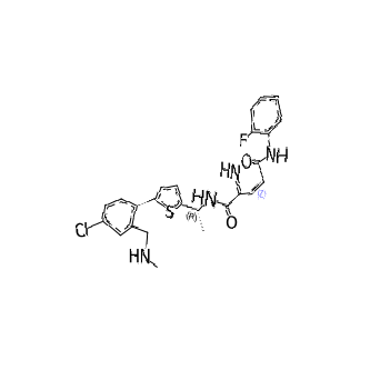 CNCc1cc(Cl)ccc1-c1ccc([C@@H](C)NC(=O)C(=N)/C=C\C(=O)Nc2ccccc2F)s1